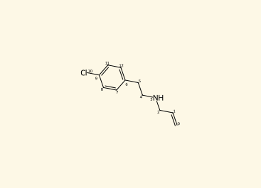 C=CCNCCc1ccc(Cl)cc1